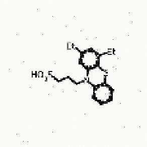 CCc1cc(CC)c2c(c1)N(CCCS(=O)(=O)O)c1ccccc1S2